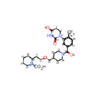 O=C1CCN(c2cc(C(=O)N3CCC(COCCC4CCCCN4C(=O)O)CC3)ccc2C(F)(F)F)C(=O)N1